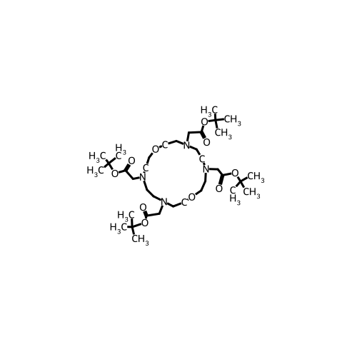 CC(C)(C)OC(=O)CN1CCOCCN(CC(=O)OC(C)(C)C)CCN(CC(=O)OC(C)(C)C)CCOCCN(CC(=O)OC(C)(C)C)CC1